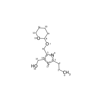 CCCc1nc(COC2CCCCO2)c(CO)s1